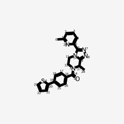 Cc1cccc(-c2nnc3n2CCN(C(=O)c2ccc(-c4cccs4)cc2)C3C)n1